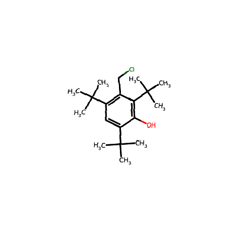 CC(C)(C)c1cc(C(C)(C)C)c(CCl)c(C(C)(C)C)c1O